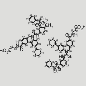 CCN(c1ccccc1)S(=O)(=O)c1cccc(NC(=O)N(Cc2ccc(C(=O)NCCC(=O)O)cc2)c2ccc(C3=CCCCC3)cc2)c1.Cc1ccc(NC(=O)N(Cc2ccc(C(=O)NCCC(=O)O)cc2)c2ccc(C3CCCCC3)cc2)cc1S(=O)(=O)N(C)c1ccccc1